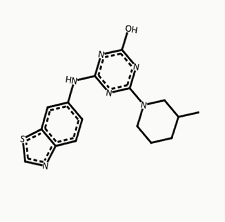 CC1CCCN(c2nc(O)nc(Nc3ccc4ncsc4c3)n2)C1